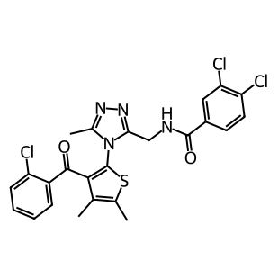 Cc1sc(-n2c(C)nnc2CNC(=O)c2ccc(Cl)c(Cl)c2)c(C(=O)c2ccccc2Cl)c1C